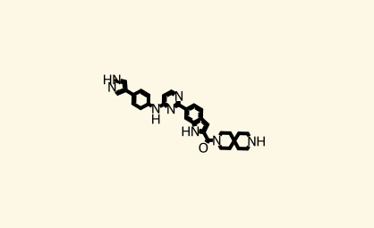 O=C(c1cc2ccc(-c3nccc(NC4C=CC(c5cn[nH]c5)=CC4)n3)cc2[nH]1)N1CCC2(CCNCC2)CC1